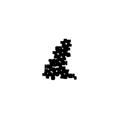 CCOC(=O)N1CCN(C(=O)C(CCC(=O)OC[C@@H]2CCCCO2)NC(=O)c2cc(OCC(=O)N3CCC[C@H]3C(=O)NC3CCC3)c3ccc(C)cc3n2)CC1